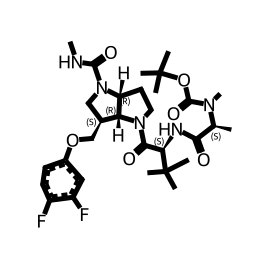 CNC(=O)N1C[C@H](COc2ccc(F)c(F)c2)[C@@H]2[C@H]1CCN2C(=O)[C@@H](NC(=O)[C@H](C)N(C)C(=O)OC(C)(C)C)C(C)(C)C